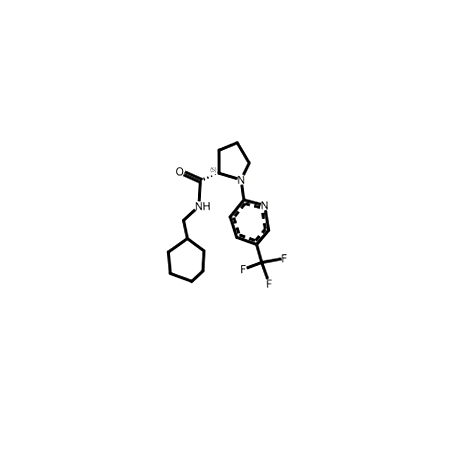 O=C(NCC1CCCCC1)[C@@H]1CCCN1c1ccc(C(F)(F)F)cn1